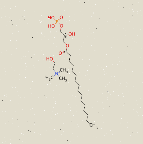 CCCCCCCCCCCCCCCC(=O)OC[C@@H](O)COP(=O)(O)O.C[N+](C)(C)CCO